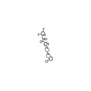 O=C(NCc1ncc(F)cc1F)c1cnc(N2CCC(N3CCc4c(Cl)cccc4C3)CC2)s1